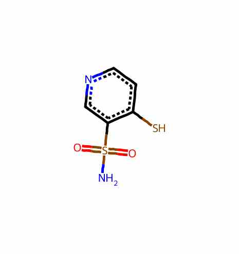 NS(=O)(=O)c1cnccc1S